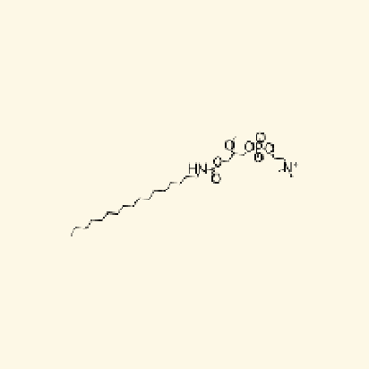 CCCCCCCCCCCCCCCCCNC(=O)OCC(COP(=O)([O-])OCC[N+](C)(C)C)OC